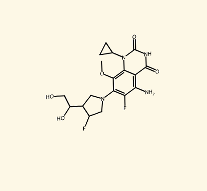 COc1c(N2CC(F)C(C(O)CO)C2)c(F)c(N)c2c(=O)[nH]c(=O)n(C3CC3)c12